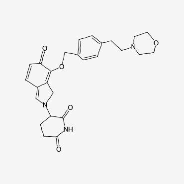 O=C1CCC(N2C=C3C=CC(=O)C(OCc4ccc(CCN5CCOCC5)cc4)=C3C2)C(=O)N1